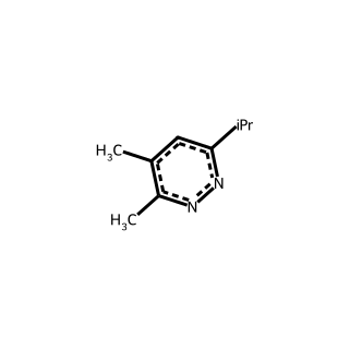 Cc1cc(C(C)C)nnc1C